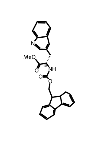 COC(=O)[C@H](Cc1cnc2ccccc2c1)NC(=O)OCC1c2ccccc2C2=CC=CCC21